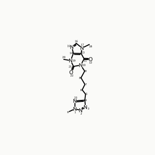 Cn1nnc(CCCCCn2c(=O)c3c(ncn3C)n(C)c2=O)n1